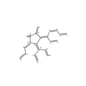 C=C/C=C\C(C=C)=c1/c(=C)[nH]/c(=C/C=C)c1=C(C=C)C=C